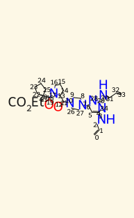 C=CCNc1cc(N2CCN(C(=O)C3CCCN3C(=O)C3(C(=O)OCC)CCCC3)CC2)nc(NCC=C)n1